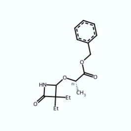 CCC1(CC)C(=O)NC1O[C@@H](C)C(=O)OCc1ccccc1